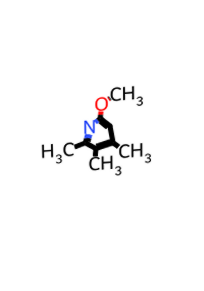 COc1cc(C)c(C)c(C)n1